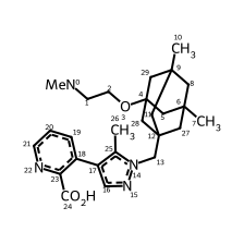 CNCCOC12CC3(C)CC(C)(CC(Cn4ncc(-c5cccnc5C(=O)O)c4C)(C3)C1)C2